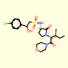 CC[C@H](C)[C@@H](C(=O)N1CCOCC1)N1CC[C@H](NS(=O)(=O)CC(O)c2ccc(Cl)cc2)C1=O